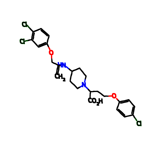 C=C(COc1ccc(Cl)c(Cl)c1)NC1CCN(C(CCOc2ccc(Cl)cc2)C(=O)O)CC1